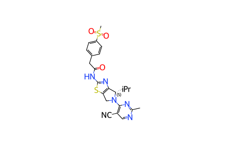 Cc1ncc(C#N)c(N2Cc3sc(NC(=O)Cc4ccc(S(C)(=O)=O)cc4)nc3[C@@H]2C(C)C)n1